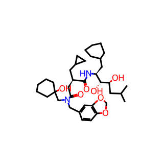 CC(C)C[C@H](O)[C@H](O)[C@H](CC1CCCCC1)NC(=O)[C@@H](CC(=O)N(Cc1ccc2c(c1)OCO2)CC1(O)CCCCC1)CC1CC1